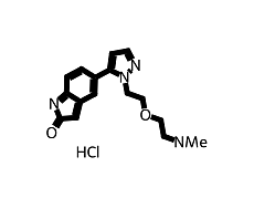 CNCCOCCn1nccc1-c1ccc2c(c1)=CC(=O)N=2.Cl